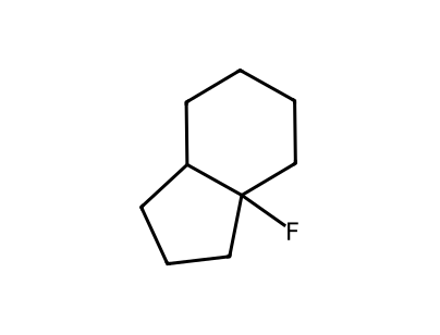 FC12CCCCC1CCC2